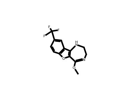 COC1=NCCNc2c1oc1ccc(C(F)(F)F)cc21